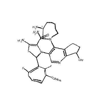 COc1ccc(F)c(C2SC(N)=C(C(N)=O)N2c2cnc3c(c2N2CCC[C@H](N)C2)CCC3O)c1F